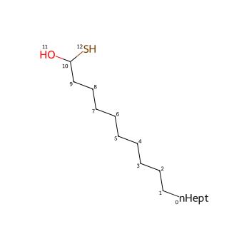 CCCCCCCCCCCCCCCCC(O)S